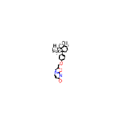 CC1CCCC(C)(c2ccc(OCC3Cn4ccc(=O)nc4O3)cc2)C1(C)C